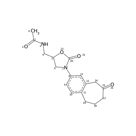 CC(=O)NCC1CN(c2ccc3c(c2)CC(=O)CCC3)C(=O)O1